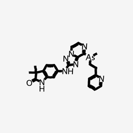 C[As](CCc1ccccn1)c1nccn2nc(Nc3ccc4c(c3)NC(=O)C4(C)C)nc12